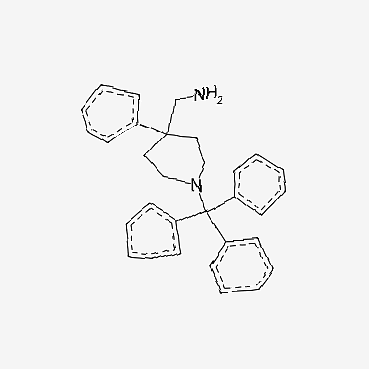 NCC1(c2ccccc2)CCN(C(c2ccccc2)(c2ccccc2)c2ccccc2)CC1